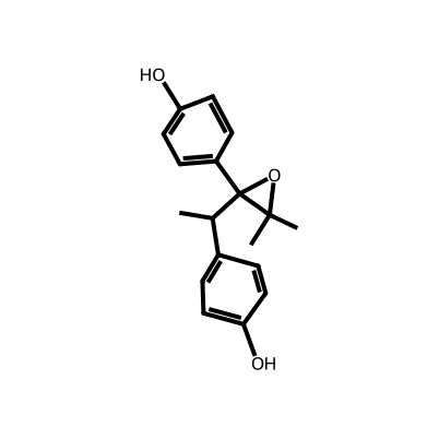 CC(c1ccc(O)cc1)C1(c2ccc(O)cc2)OC1(C)C